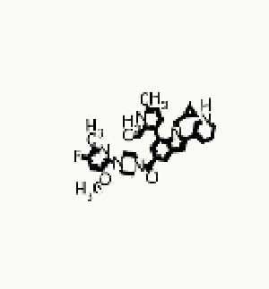 CCc1nc(C)ccc1-c1cc(C(=O)N2CCN(c3nc(C)c(F)cc3OC)CC2)cc2cc(C3=CCCNC3)n(CC3CC3)c12